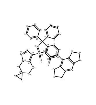 O=C(Nc1c2c(cc3c1CCC3)CCC2)NS(=O)(=NC(c1ccccc1)(c1ccccc1)c1ccccc1)c1cnn2c1OCC1(CC1)C2